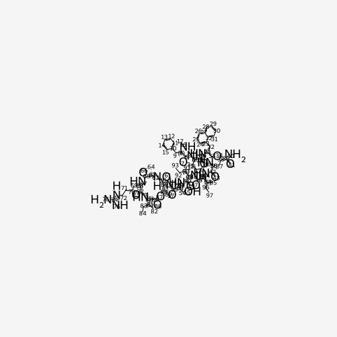 CC[C@H](C)[C@H](NC(=O)[C@@H](Cc1ccccc1)NC)C(=O)N[C@@H](Cc1cccc2ccccc12)C(=O)N[C@H](CCC(N)=O)C(=O)N[C@@H](C(=O)N[C@H](C(=O)N[C@@H](CO)C(=O)N[C@H]1C(=O)N[C@@H](C)C(=O)N[C@@H](CCCCNC(=N)N)C(=O)N[C@@H]([C@@H](C)CC)C(=O)O[C@H]1C)[C@@H](C)CC)[C@@H](C)CC